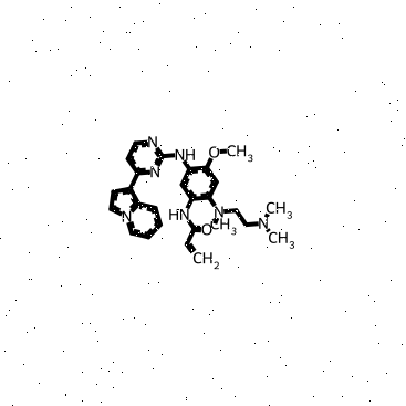 C=CC(=O)Nc1cc(Nc2nccc(-c3ccn4ccccc34)n2)c(OC)cc1N(C)CCN(C)C